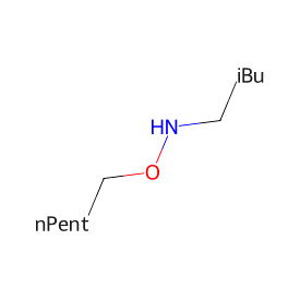 CCCCCCONCC(C)CC